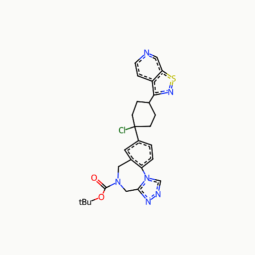 CC(C)(C)OC(=O)N1Cc2cc(C3(Cl)CCC(c4nsc5cnccc45)CC3)ccc2-n2cnnc2C1